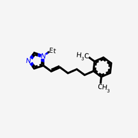 CCn1cncc1C=CCCCc1c(C)cccc1C